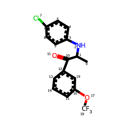 CC(Nc1ccc(Cl)cc1)C(=O)c1cccc(OC(F)(F)F)c1